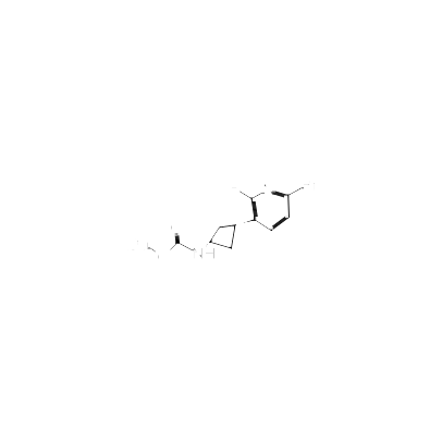 CC(C)(C)OC(=O)N[C@H]1C[C@@H](c2ccc(Br)nc2F)C1